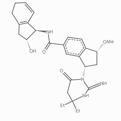 CCC1(CC)CC(=O)N([C@H]2C[C@@H](OC)c3ccc(C(=O)N[C@@H]4C5=C(CCC=C5)C[C@H]4O)cc32)C(=N)N1